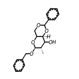 C[C@H]1C(O)[C@@H]2OC(c3ccccc3)OCC2O[C@@H]1OCc1ccccc1